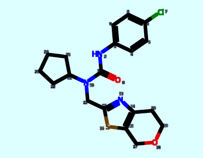 O=C(Nc1ccc(Cl)cc1)N(Cc1nc2c(s1)COCC2)C1CCCC1